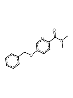 CN(C)C(=O)c1ccc(OCc2ccccc2)cn1